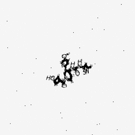 COc1ccc(C2CN(C(=O)C3CC(O)C3)CCC2NC(=O)Nc2cc(C)ns2)nc1